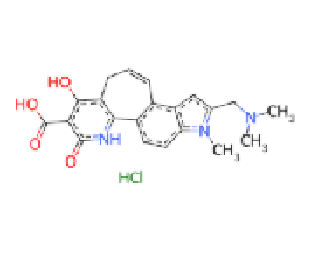 CN(C)Cc1cc2c3c(ccc2n1C)-c1[nH]c(=O)c(C(=O)O)c(O)c1CC=C3.Cl